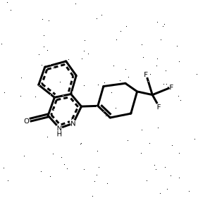 O=c1[nH]nc(C2=CCC(C(F)(F)F)CC2)c2ccccc12